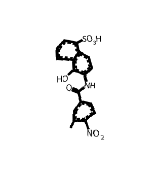 Cc1cc(C(=O)Nc2ccc3c(S(=O)(=O)O)cccc3c2O)ccc1[N+](=O)[O-]